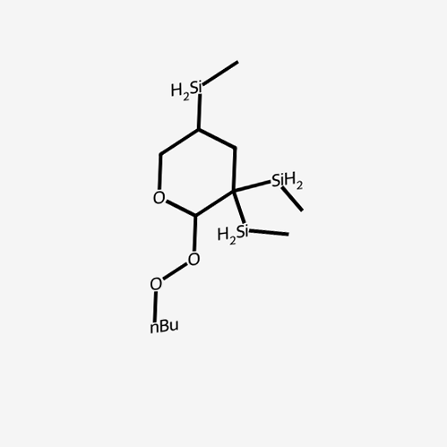 CCCCOOC1OCC([SiH2]C)CC1([SiH2]C)[SiH2]C